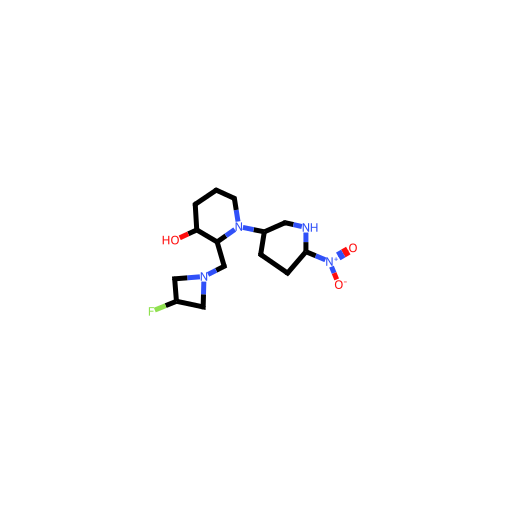 O=[N+]([O-])C1CCC(N2CCCC(O)C2CN2CC(F)C2)CN1